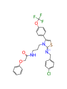 O=C(COc1ccccc1)NCCCn1c(-c2ccc(OC(F)(F)F)cc2)cs/c1=N\Cc1ccc(Cl)cc1